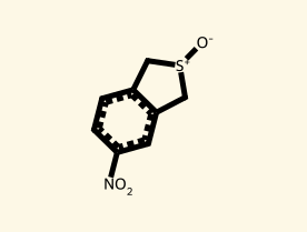 O=[N+]([O-])c1ccc2c(c1)C[S+]([O-])C2